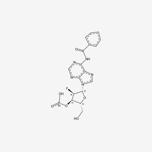 O=C(Nc1ncnc2c1ncn2[C@@H]1O[C@H](CO)[C@@H](O[PH](=O)O)[C@H]1F)c1ccccc1